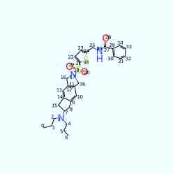 CCCN(CCC)C1Cc2cc3c(cc2C1)CN(S(=O)(=O)c1ccc(CNC(=O)c2ccccc2)s1)C3